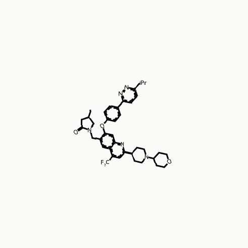 CC1CC(=O)N(Cc2cc3c(C(F)(F)F)cc(C4CCN(C5CCOCC5)CC4)nc3cc2Oc2ccc(-c3ccc(C(C)C)nn3)cc2)C1